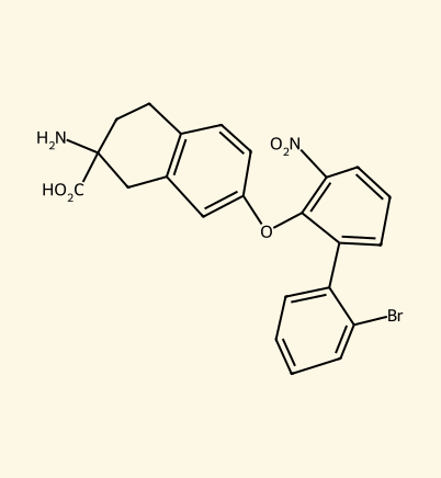 NC1(C(=O)O)CCc2ccc(Oc3c(-c4ccccc4Br)cccc3[N+](=O)[O-])cc2C1